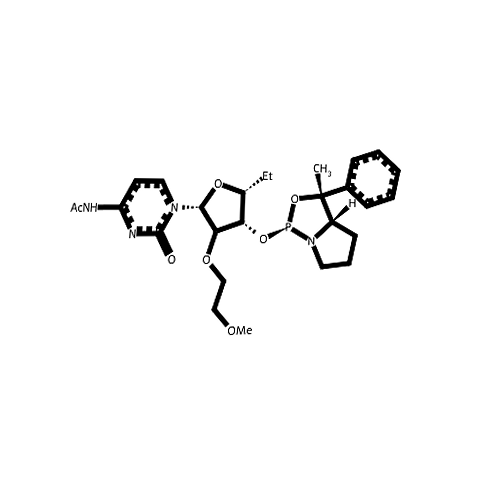 CC[C@H]1O[C@@H](n2ccc(NC(C)=O)nc2=O)C(OCCOC)[C@H]1O[P@@]1O[C@](C)(c2ccccc2)[C@@H]2CCCN21